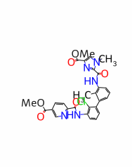 COC(=O)c1ccc(C(=O)Nc2cccc(-c3cccc(NC(=O)c4nc(C(=O)OC)cn4C)c3C)c2Cl)nc1